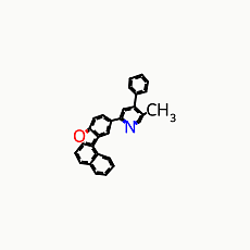 Cc1cnc(-c2ccc3oc4ccc5ccccc5c4c3c2)cc1-c1ccccc1